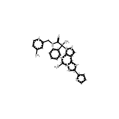 Cc1ccnc(CNC(=O)[C@@](C)(c2ccccc2)n2ncc3c2nc(N)n2nc(-c4ccco4)nc32)c1